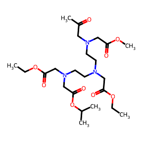 CCOC(=O)CN(CCN(CC(C)=O)CC(=O)OC)CCN(CC(=O)OCC)CC(=O)OC(C)C